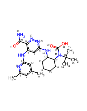 Cc1cc(C)nc(Nc2cc(N[C@@H]3CCCC[C@@H]3N(C(=O)O)C(C)(C)C)nnc2C(N)=O)c1